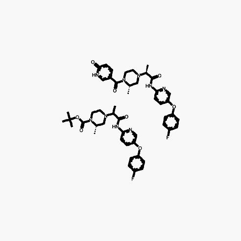 CC(C(=O)Nc1ccc(Oc2ccc(F)cc2)cn1)N1CCN(C(=O)OC(C)(C)C)[C@@H](C)C1.C[C@@H](C(=O)Nc1ccc(Oc2ccc(F)cc2)cn1)N1CCN(C(=O)c2ccc(=O)[nH]c2)[C@@H](C)C1